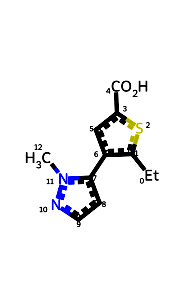 CCc1sc(C(=O)O)cc1-c1ccnn1C